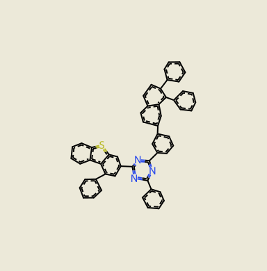 c1ccc(-c2nc(-c3cccc(-c4ccc5ccc(-c6ccccc6)c(-c6ccccc6)c5c4)c3)nc(-c3cc(-c4ccccc4)c4c(c3)sc3ccccc34)n2)cc1